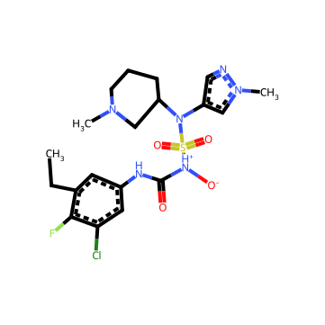 CCc1cc(NC(=O)[NH+]([O-])S(=O)(=O)N(c2cnn(C)c2)C2CCCN(C)C2)cc(Cl)c1F